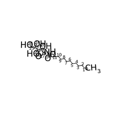 CCCCCCCCCCCCOC(=O)N[C@@H](C=O)[C@@H](O)[C@H](O)[C@H](O)CO